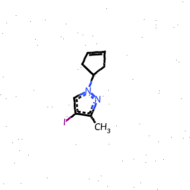 Cc1nn(C2CC=CC2)cc1I